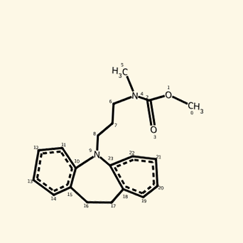 COC(=O)N(C)CCCN1c2ccccc2CCc2ccccc21